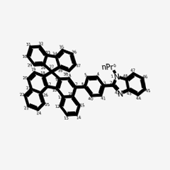 CCCn1c(-c2ccc(-c3cc4c(c5ccccc35)-c3c(ccc5ccccc35)C43c4ccccc4-c4ccccc43)cc2)nc2ccccc21